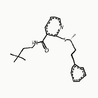 C[C@H](CCc1ccccc1)Sc1ncccc1C(=O)NCCC(C)(C)C